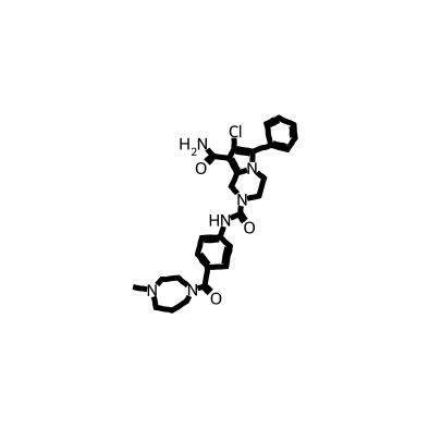 CN1CCCN(C(=O)c2ccc(NC(=O)N3CCn4c(c(C(N)=O)c(Cl)c4-c4ccccc4)C3)cc2)CC1